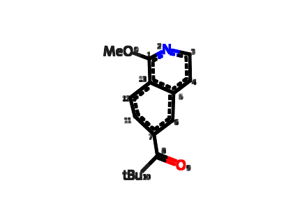 COc1nccc2cc(C(=O)C(C)(C)C)ccc12